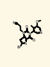 COc1cncc(-n2c(=O)c3sc(Br)cc3n(CCC#N)c2=O)c1C